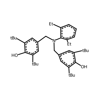 CCc1cccc(CC)c1N(Cc1cc(C(C)(C)C)c(O)c(C(C)(C)C)c1)Cc1cc(C(C)(C)C)c(O)c(C(C)(C)C)c1